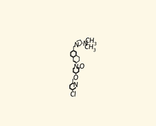 CN(C)[C@H]1CCN(Cc2ccc3c(c2)CCC(n2ccc(OCc4ccc(Cl)cn4)cc2=O)=C3)C1